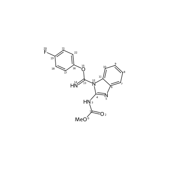 COC(=O)Nc1nc2ccccc2n1C(=N)Oc1ccc(F)cc1